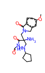 COc1ccc2c(c1)CN(CC(N)(CNC1CCCC1)C(=O)NC=O)C2=O